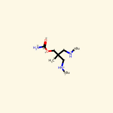 CCCCNCC(C)(CNCCCC)COC(N)=O